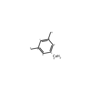 Cc1cccc(C)c1.[CaH2]